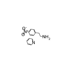 NCCc1ccc([N+](=O)[O-])cc1.c1ccncc1